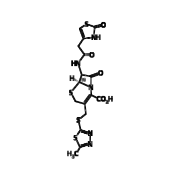 Cc1nnc(SCC2=C(C(=O)O)N3C(=O)C(NC(=O)Cc4csc(=O)[nH]4)[C@@H]3SC2)s1